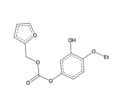 CCOc1ccc(OC(=O)OCc2ccco2)cc1O